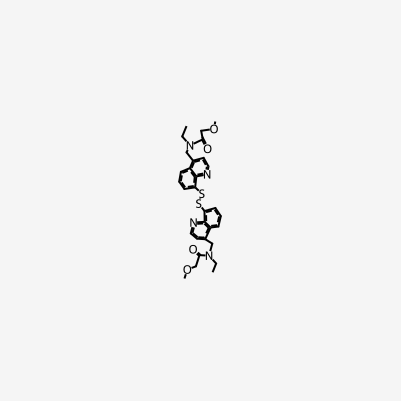 CCN(Cc1ccnc2c(SSc3cccc4c(CN(CC)C(=O)COC)ccnc34)cccc12)C(=O)COC